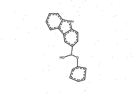 OB(Oc1ccccc1)c1ccc2[nH]c3ccccc3c2c1